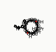 CC[C@H](C)[C@@H]1NC(=O)[C@@H]2CCCN2C(=O)[C@H](Cc2cccc(-c3cnn(C4CCCC4)c3)c2)N(C)C(=O)[C@H](Cc2ccccc2)NC(=O)[C@H](C(C)C)N(C)C(=O)[C@@H]([C@@H](C)CC)OC(=O)[C@H](C(C)(C)O)N(C)C(=O)[C@H](CC(C)C)NC(=O)[C@H](C(C)C)N(C)C1=O